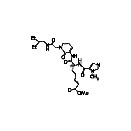 CCC(CC)CNC(=O)Cn1cccc(NC(=O)[C@@H](CCC=CC(=O)OC)NC(=O)c2cncn2C)c1=O